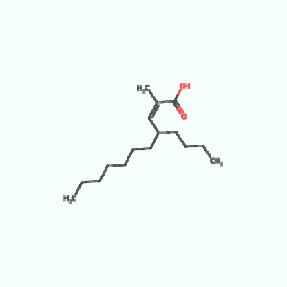 CCCCCCCC(C=C(C)C(=O)O)CCCC